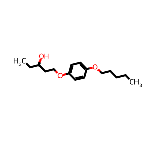 CCCCCOc1ccc(OCCC(O)CC)cc1